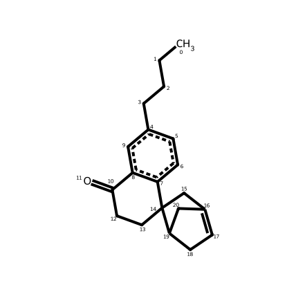 CCCCc1ccc2c(c1)C(=O)CCC21CC2=CCC1C2